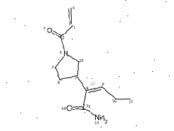 C=CC(=O)N1CCC(/C(=C/CC)C(N)=O)C1